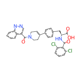 O=C(N[C@@H](Cc1ccc(C2=CCN(C(=O)c3cnnc4ccccc34)CC2)cc1)C(=O)O)c1c(Cl)cccc1Cl